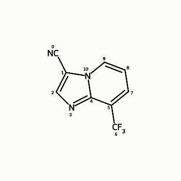 N#Cc1cnc2c(C(F)(F)F)cccn12